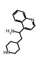 NC(CC1CCNCC1)c1ccnc2ccccc12